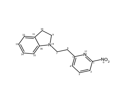 O=[N+]([O-])c1cccc(CCN2CCc3ccccc32)n1